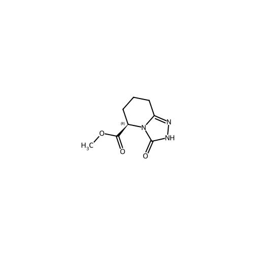 COC(=O)[C@H]1CCCc2n[nH]c(=O)n21